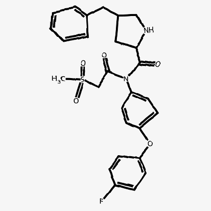 CS(=O)(=O)CC(=O)N(C(=O)C1CC(Cc2ccccc2)CN1)c1ccc(Oc2ccc(F)cc2)cc1